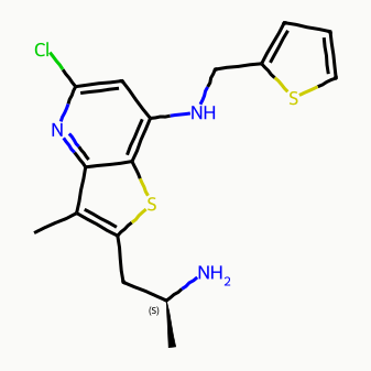 Cc1c(C[C@H](C)N)sc2c(NCc3cccs3)cc(Cl)nc12